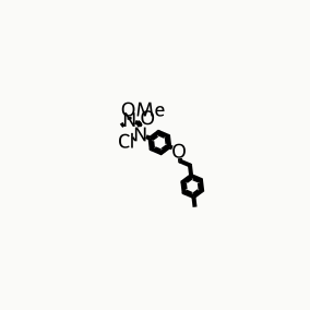 CON(C)C(=O)N(Cl)c1ccc(OCCc2ccc(C)cc2)cc1